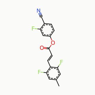 Cc1cc(F)c(C=CC(=O)Oc2ccc(C#N)c(F)c2)c(F)c1